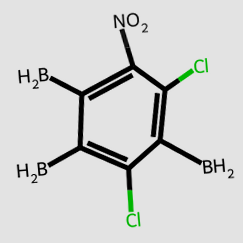 Bc1c(B)c([N+](=O)[O-])c(Cl)c(B)c1Cl